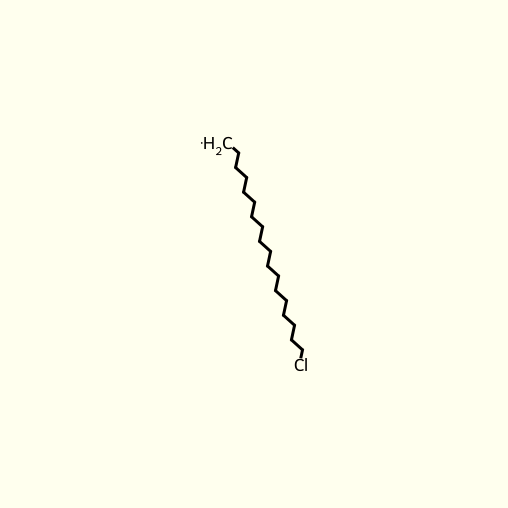 [CH2]CCCCCCCCCCCCCCCCCCl